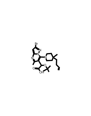 C=CCCC1(C)CCN(c2c(C(OC(C)(C)C)C(=O)O)c(C)nc3cc(Br)nn23)CC1